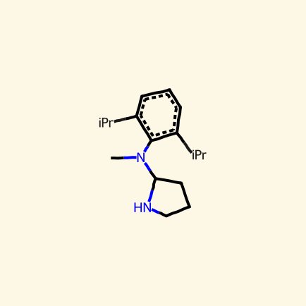 CC(C)c1cccc(C(C)C)c1N(C)C1CCCN1